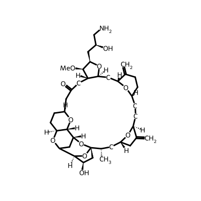 C=C1C[C@@H]2C[C@H](C)[C@]34C[C@@H](O)[C@H](O3)C3C[C@@H](O4)[C@H]4O[C@H](CC[C@@H]4O3)CC(=O)C[C@@H]3[C@@H](OC)[C@@H](C[C@H](O)CN)O[C@H]3C[C@H]3O[C@H](CCC3=C)CC[C@@H]1O2